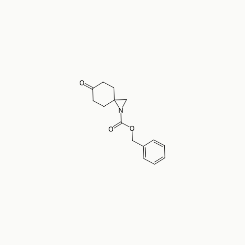 O=C1CCC2(CC1)CN2C(=O)OCc1ccccc1